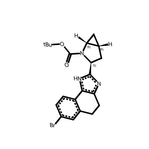 CC(C)(C)OC(=O)N1[C@@H]2C[C@@H]2C[C@H]1c1nc2c([nH]1)-c1ccc(Br)cc1CC2